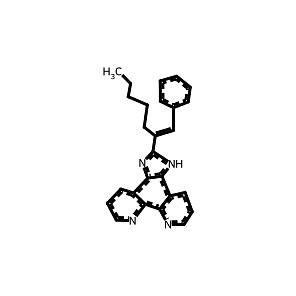 CCCCC/C(=C\c1ccccc1)c1nc2c3cccnc3c3ncccc3c2[nH]1